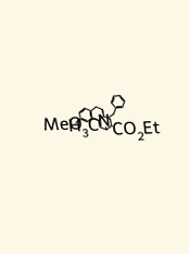 CCOC(=O)C1CC2C3Cc4ccc(OC)cc4[C@]2(C)CC1N3Cc1ccccc1